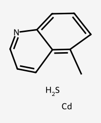 Cc1cccc2ncccc12.S.[Cd]